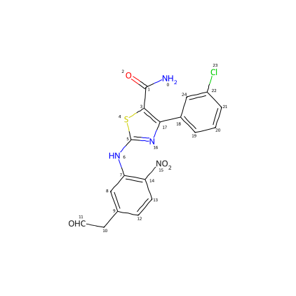 NC(=O)c1sc(Nc2cc(CC=O)ccc2[N+](=O)[O-])nc1-c1cccc(Cl)c1